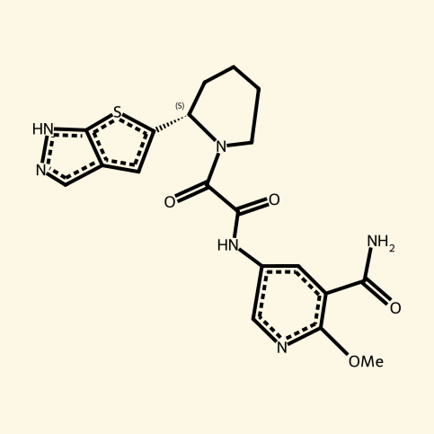 COc1ncc(NC(=O)C(=O)N2CCCC[C@H]2c2cc3cn[nH]c3s2)cc1C(N)=O